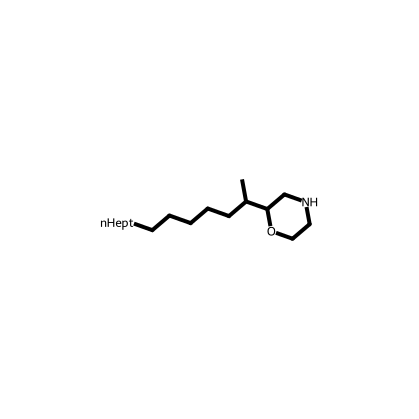 CCCCCCCCCCCCC(C)C1CNCCO1